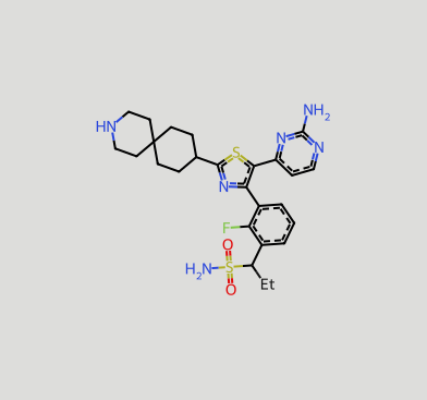 CCC(c1cccc(-c2nc(C3CCC4(CCNCC4)CC3)sc2-c2ccnc(N)n2)c1F)S(N)(=O)=O